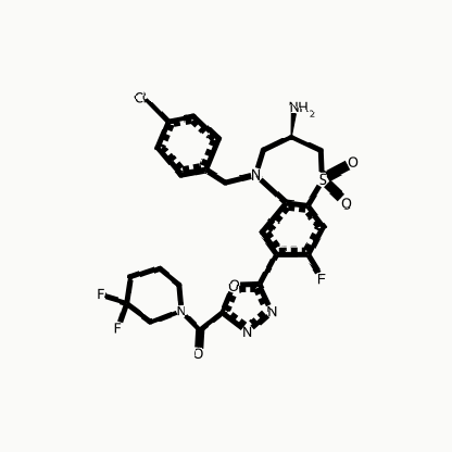 N[C@@H]1CN(Cc2ccc(Cl)cc2)c2cc(-c3nnc(C(=O)N4CCCC(F)(F)C4)o3)c(F)cc2S(=O)(=O)C1